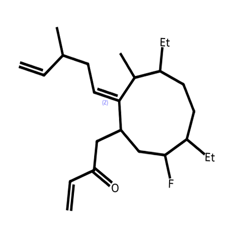 C=CC(=O)CC1CC(F)C(CC)CCC(CC)C(C)/C1=C\CC(C)C=C